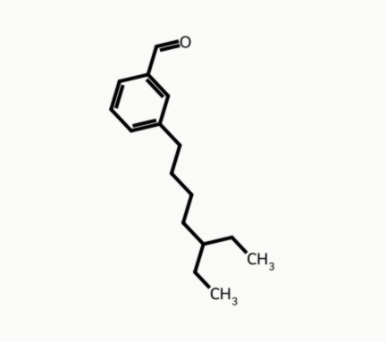 CCC(CC)CCCCc1cccc(C=O)c1